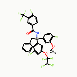 COc1cc(C(Cc2ccccc2)(NC(=O)c2ccc(F)c(C(F)(F)F)c2)c2cc(F)cc(OC(F)(F)C(F)F)c2)ccc1F